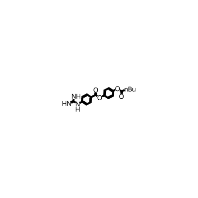 CCCCC(=O)Oc1ccc(OC(=O)c2ccc(NC(=N)N)cc2)cc1